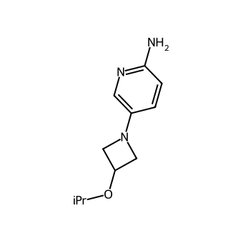 CC(C)OC1CN(c2ccc(N)nc2)C1